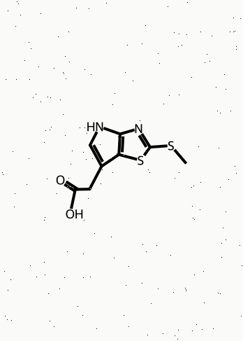 CSc1nc2[nH]cc(CC(=O)O)c2s1